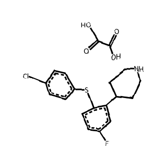 Fc1ccc(Sc2ccc(Cl)cc2)c(C2CCNCC2)c1.O=C(O)C(=O)O